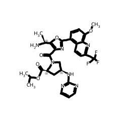 COc1ccc(-c2nc(C(=O)N3C[C@@H](Nc4ncccn4)C[C@H]3C(=O)OC(C)C)c([C@H](C)N)o2)c2ccc(C(F)(F)F)nc12